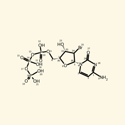 Nc1ccn([C@@H]2O[C@H](COP(=O)(O)OP(=O)(O)OP(=O)(O)O)[C@H](O)C2Br)c(=O)n1